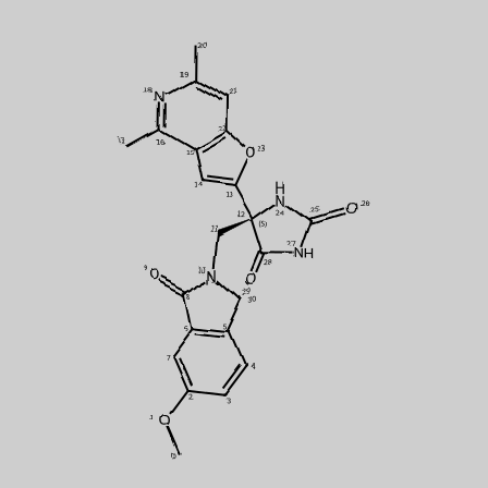 COc1ccc2c(c1)C(=O)N(C[C@@]1(c3cc4c(C)nc(C)cc4o3)NC(=O)NC1=O)C2